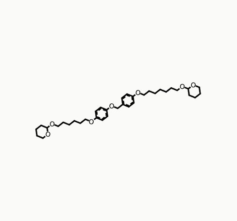 c1cc(OCCCCCCCOC2CCCCO2)ccc1COc1ccc(OCCCCCCOC2CCCCO2)cc1